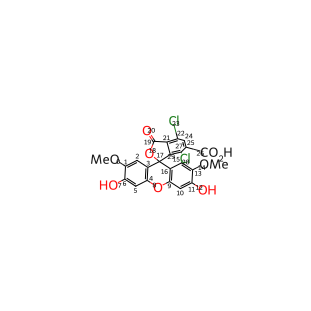 COc1cc2c(cc1O)Oc1cc(O)c(OC)cc1C21OC(=O)c2c(Cl)cc(C(=O)O)c(Cl)c21